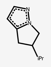 CC(C)C1Cc2ccnn2C1